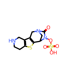 O=C1N2Cc3c(sc4c3CNCC4)C(C2)N1OS(=O)(=O)O